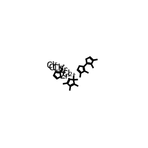 CC1=C(C)C(C)(C)[C]([Zr+2])=C1C.CC1=CCC(C2=C(C)C(C)=CC2)=C1C.[CH3][Zr]([CH3])([Cl])([Cl])[C]1=CC=CC1.[Cl-].[Cl-]